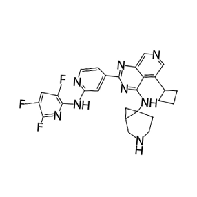 Fc1cc(F)c(Nc2cc(-c3nc(NC45CCNCC4C5)c4c(C5CCC5)cncc4n3)ccn2)nc1F